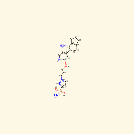 Nc1c(-c2ccnc(OCCCn3ccc(S(N)(=O)=O)n3)c2)ccc2c1CCC2